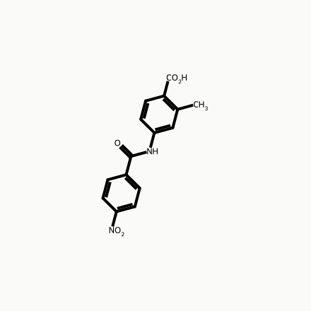 Cc1cc(NC(=O)c2ccc([N+](=O)[O-])cc2)ccc1C(=O)O